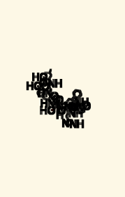 CC(C)CC(NC(=O)CNC(=O)C(Cc1ccc(O)cc1)NC(=O)C(CO)NC(=O)C(Cc1c[nH]c2ccccc12)NC(=O)C(Cc1c[nH]cn1)NC(=O)C1CCC(=O)N1)C(=O)O